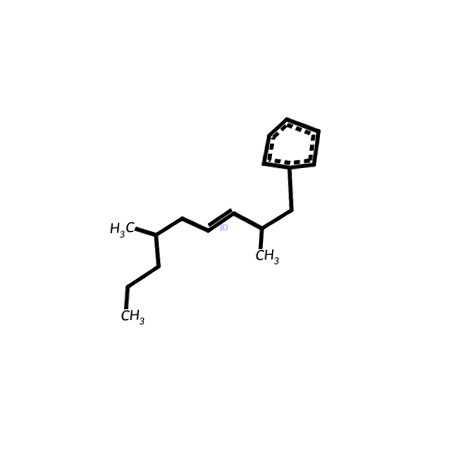 CCCC(C)C/C=C/C(C)Cc1ccccc1